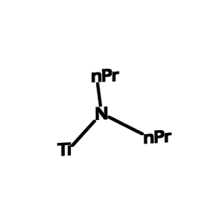 CCC[N]([Ti])CCC